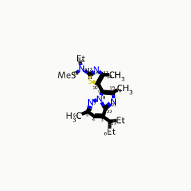 CCC(CC)c1cc(C)nn2c(-c3sc(N(CC)SC)nc3C)c(C)nc12